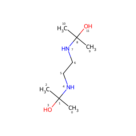 CC(C)(O)NCCNC(C)(C)O